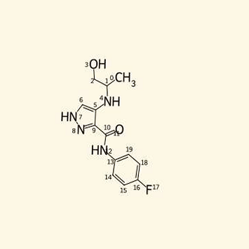 CC(CO)Nc1c[nH]nc1C(=O)Nc1ccc(F)cc1